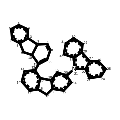 C1=CC2c3ccccc3CC2C(c2cccc3c2-c2cc(-n4c5ccccc5c5ccccc54)ccc2C3)=C1